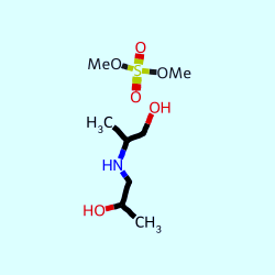 CC(O)CNC(C)CO.COS(=O)(=O)OC